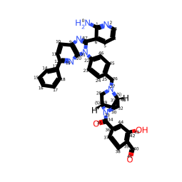 Nc1ncccc1-c1nc2ccc(-c3ccccc3)nc2n1-c1ccc(CN2C[C@@H]3C[C@H]2CN3C(=O)c2ccc(C=O)c(O)c2)cc1